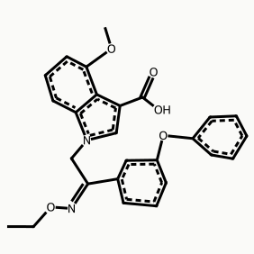 CCO/N=C(\Cn1cc(C(=O)O)c2c(OC)cccc21)c1cccc(Oc2ccccc2)c1